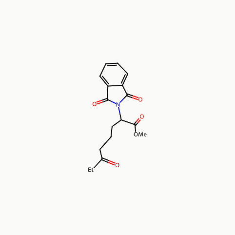 CCC(=O)CCCC(C(=O)OC)N1C(=O)c2ccccc2C1=O